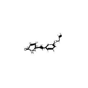 C=CCOc1cccc(C=Cc2ccc(=O)[nH]n2)c1